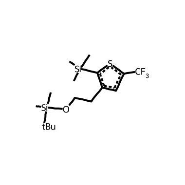 CC(C)(C)[Si](C)(C)OCCc1cc(C(F)(F)F)sc1[Si](C)(C)C